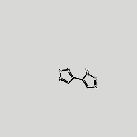 [c]1nn[nH]c1-c1cnsn1